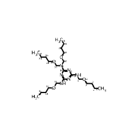 CCCCOCNc1nc(NCOCCCC)nc(N(COCCCC)COCCCC)n1